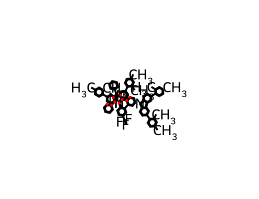 Cc1ccc(-c2ccc3c(c2)c2cc(-c4ccc(C)cc4C)ccc2n3-c2ccc(-c3nc(-c4ccccc4)nc(-c4ccccc4)n3)c(-c3cc(C(F)(F)F)ccc3-n3c4ccc(-c5ccc(C)cc5C)cc4c4cc(-c5ccc(C)cc5C)ccc43)c2)c(C)c1